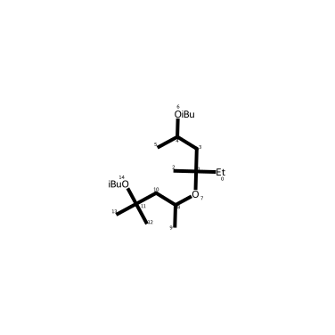 CCC(C)(CC(C)OCC(C)C)OC(C)CC(C)(C)OCC(C)C